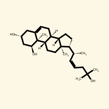 C[C@H](/C=C\CC(C)(C)O)[C@H]1CC[C@H]2[C@@H]3CC=C4C[C@@H](O)C[C@H](O)[C@]4(C)[C@H]3CC[C@]12C